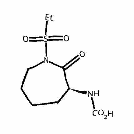 CCS(=O)(=O)N1CCCC[C@H](NC(=O)O)C1=O